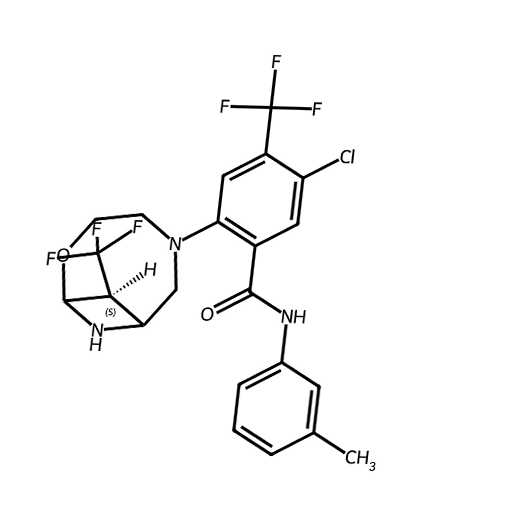 Cc1cccc(NC(=O)c2cc(Cl)c(C(F)(F)F)cc2N2CCOC3NC(C2)[C@@H]3C(F)(F)F)c1